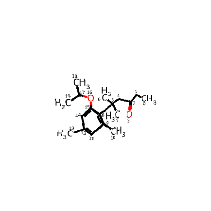 CCC(=O)CC(C)(C)c1c(C)cc(C)cc1OC(C)C